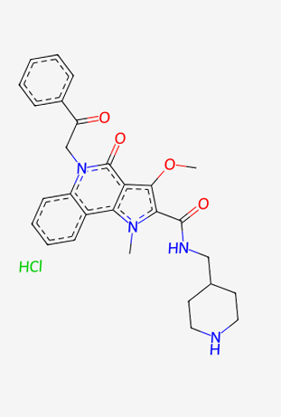 COc1c(C(=O)NCC2CCNCC2)n(C)c2c1c(=O)n(CC(=O)c1ccccc1)c1ccccc21.Cl